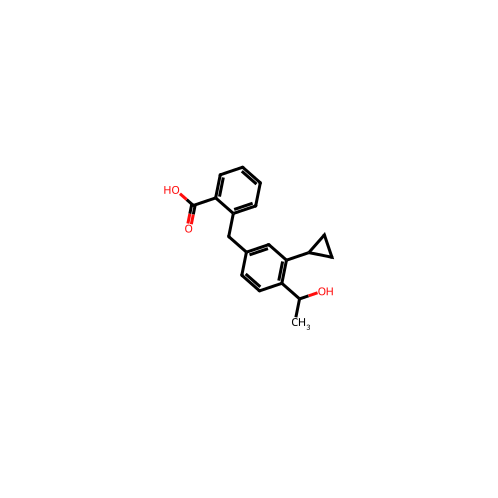 CC(O)c1ccc(Cc2ccccc2C(=O)O)cc1C1CC1